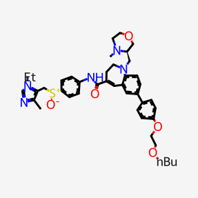 CCCCOCCOc1ccc(-c2ccc3c(c2)C=C(C(=O)Nc2ccc([S@+]([O-])Cc4c(C)ncn4CC)cc2)CCN3C[C@@H]2COCCN2C)cc1